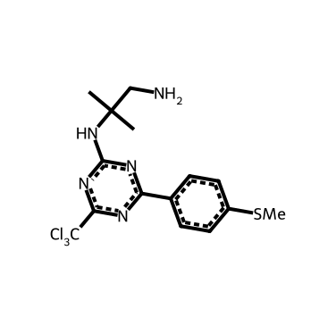 CSc1ccc(-c2nc(NC(C)(C)CN)nc(C(Cl)(Cl)Cl)n2)cc1